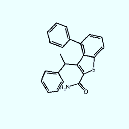 CC(c1ccccc1)c1c(C(N)=O)sc2cccc(-c3ccccc3)c12